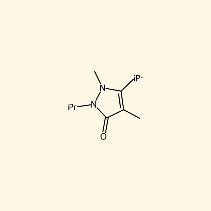 Cc1c(C(C)C)n(C)n(C(C)C)c1=O